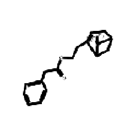 CC1(C)C2CC=C(CCOC(=O)Cc3ccccc3)C1C2